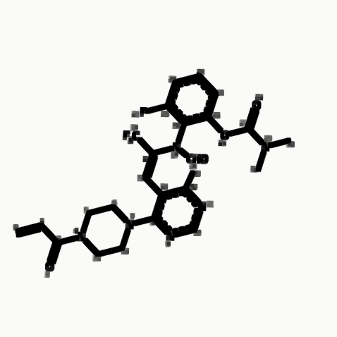 C=CC(=O)N1CCN(c2ncnc(C)c2/C=C(\N(C=O)c2c(F)cccc2OC(=O)N(C)C)C(F)(F)F)CC1